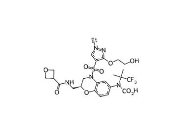 CCn1cc(S(=O)(=O)N2C[C@H](CNC(=O)C3COC3)Oc3ccc(N(C(=O)O)C(C)(C)C(F)(F)F)cc32)c(OCCO)n1